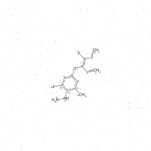 C=C/C(F)=C(\C=C)Oc1cc(C)c(NN)c(F)c1